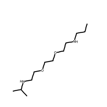 CCCNCCOCCOCCNC(C)C